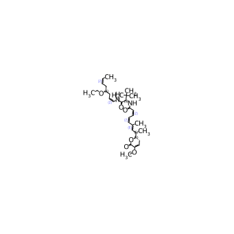 C/C=C\C[C@@H](C/C=C\NC(=O)[C@@H](NC(=O)\C=C/C=C\C(C)=C\[C@H](C)[C@@H]1CC=C(OC)C(=O)O1)C(C)(C)C)OCC